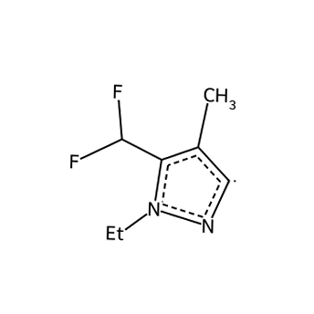 CCn1n[c]c(C)c1C(F)F